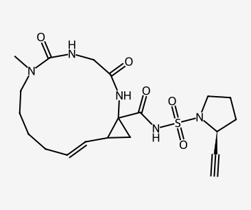 C#C[C@@H]1CCCN1S(=O)(=O)NC(=O)C12CC1/C=C/CCCCN(C)C(=O)NCC(=O)N2